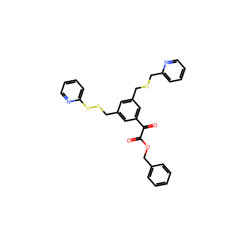 O=C(OCc1ccccc1)C(=O)c1cc(CSCc2ccccn2)cc(CSSc2ccccn2)c1